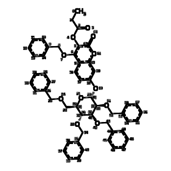 CCC(=O)Oc1c(OCc2ccccc2)c2ccc(O[C@H]3O[C@H](COCc4ccccc4)[C@@H](OCc4ccccc4)[C@H](OCc4ccccc4)[C@@H]3OCc3ccccc3)cc2oc1=O